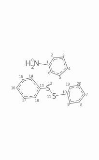 Nc1ccccc1.c1ccc(SSc2ccccc2)cc1